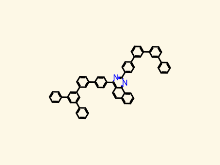 c1ccc(-c2cccc(-c3cccc(-c4ccc(-c5nc(-c6ccc(-c7cccc(-c8cc(-c9ccccc9)cc(-c9ccccc9)c8)c7)cc6)c6ccc7ccccc7c6n5)cc4)c3)c2)cc1